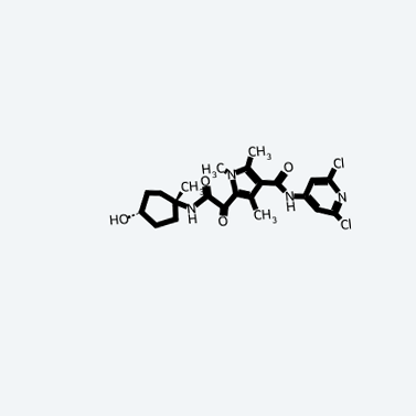 Cc1c(C(=O)Nc2cc(Cl)nc(Cl)c2)c(C)n(C)c1C(=O)C(=O)N[C@]1(C)CC[C@H](O)CC1